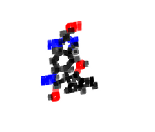 CC(=O)C1(C)C(=O)Nc2cc3[nH]c(O)nc3cc21